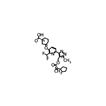 CN(C(=O)OCc1c(-c2ccc(O[C@H]3CCC[C@H](C(=O)O)C3)c(C(F)F)n2)nnn1C)C1CCCC1